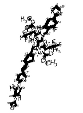 COC(=O)N[C@H](C(=O)N[C@@H](Cc1ccc(C#Cc2ccc(N3C[C@H]4C[C@@H]3CN4C3COC3)nc2)cc1)[C@@H](O)CN(Cc1c(F)cc(-c2ncccn2)cc1F)NC(=O)[C@@H](NC(=O)OC)C(C)(C)C(F)(F)F)C(C)(C)C(F)(F)F